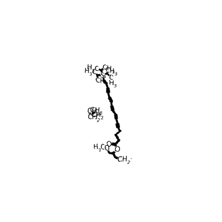 C=C.C=C.[CH2]CC(COC)OC(=O)CCCC#CC#CC#CC#CC#CC#C[Si](C(C)C)(C(C)C)C(C)C